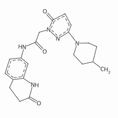 CC1CCN(c2ccc(=O)n(CC(=O)Nc3ccc4c(c3)NC(=O)CC4)n2)CC1